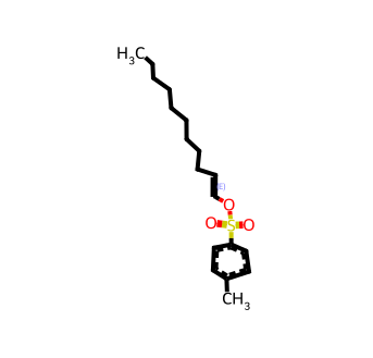 CCCCCCCCC/C=C/OS(=O)(=O)c1ccc(C)cc1